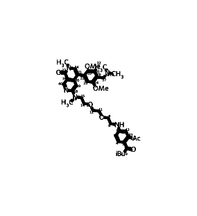 CCC(C)C(=O)c1ccc(NCCOCCOCCN(C)c2cc3c(-c4cc(OC)c(CN(C)C)c(OC)c4)cn(C)c(=O)c3cn2)cc1C(C)=O